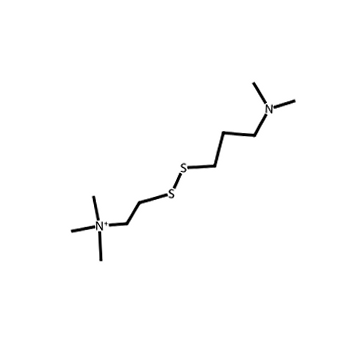 CN(C)CCCSSCC[N+](C)(C)C